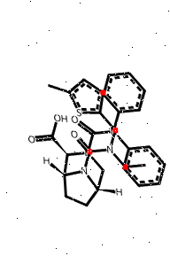 CCN(Cc1ccc(C)s1)C(=O)N1[C@H]2CC[C@@H]1[C@@H](C(=O)O)N(C(=O)N(c1ccccc1)c1ccccc1)C2